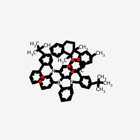 Cc1cc(C)c2c(c1)C1(C)CCc3ccccc3C1(C)N2c1cc2c3c(c1)N(c1ccc(C(C)(C)C)cc1-c1ccccc1)c1ccccc1B3c1ccccc1N2c1ccc(C(C)(C)C)cc1-c1ccccc1